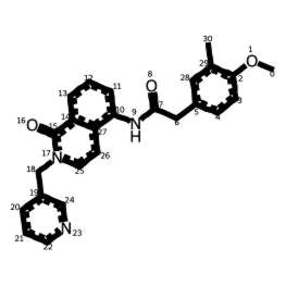 COc1ccc(CC(=O)Nc2cccc3c(=O)n(Cc4cccnc4)ccc23)cc1C